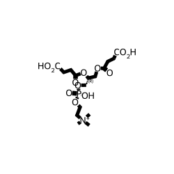 C[N+](C)(C)CCOP(=O)(O)OC[C@@H](COC(=O)CCC(=O)O)OC(=O)CCC(=O)O